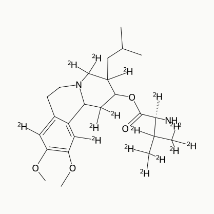 [2H]c1c2c(c([2H])c(OC)c1OC)C1N(CC2)C([2H])([2H])C([2H])(CC(C)C)C(OC(=O)[C@@]([2H])(N)C([2H])(C([2H])([2H])[2H])C([2H])([2H])[2H])C1([2H])[2H]